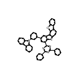 c1ccc(-c2nc(-c3ccccc3)nc(-c3cc(-c4cccc(-n5c6ccccc6c6ccccc65)c4)cc4c3sc3ccc5c6ccccc6oc5c34)n2)cc1